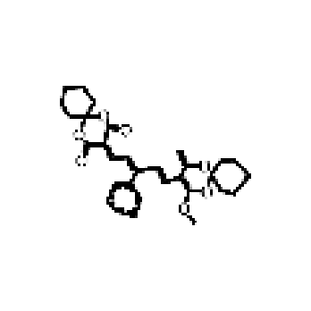 C=C1OC2(CCCCC2)OC(OC)=C1/C=C/C(=C/C=C1C(=O)OC2(CCCCC2)OC1=O)c1ccccc1